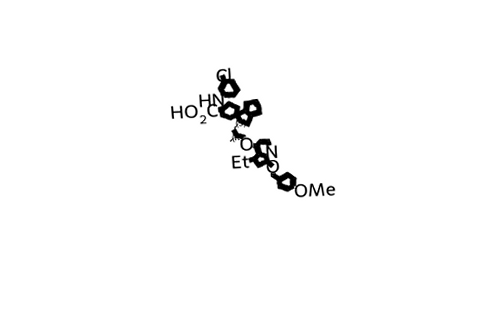 CCC1CC(OCc2ccc(OC)cc2)c2nccc(OC[C@H](C)C[C@H]3Cc4ccccc4C34CCC(Nc3cccc(Cl)c3)(C(=O)O)CC4)c21